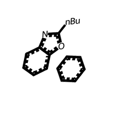 CCCCc1nc2ccccc2o1.c1ccccc1